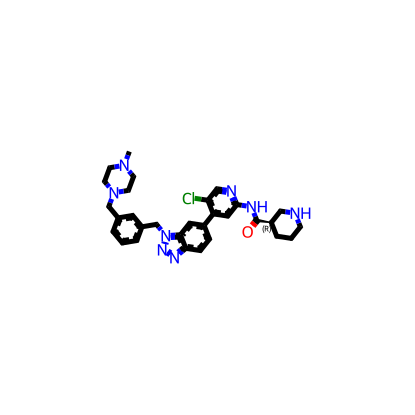 CN1CCN(Cc2cccc(Cn3nnc4ccc(-c5cc(NC(=O)[C@@H]6CCCNC6)ncc5Cl)cc43)c2)CC1